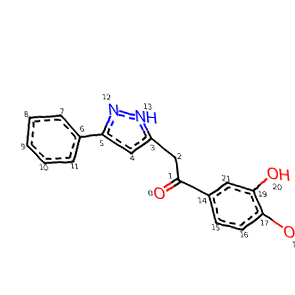 O=C(Cc1cc(-c2ccccc2)n[nH]1)c1ccc(O)c(O)c1